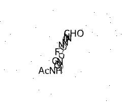 CC(=O)NC[C@H]1CN(c2ccc(-c3ccc(N4C=NN(C=O)CC4)nc3)c(F)c2)C(=O)O1